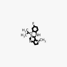 CC(C)Oc1cc(F)ccc1Nc1ncnc2ccn(C)c12